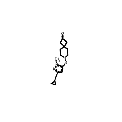 Cn1nc(C2CC2)cc1SN1CCC2(CC1)CC(=O)C2